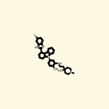 CN1CCC(O)(CCNc2cc(-n3c4ccccc4c4c(-c5nc6ccc(F)cc6[nH]5)cccc43)ccc2C#N)CC1